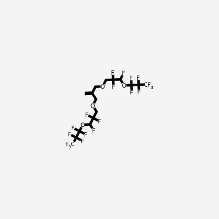 C=C(COCC(F)(F)C(F)OC(F)(F)C(F)(F)C(F)(F)F)COCC(F)(F)C(F)OC(F)(F)C(F)(F)C(F)(F)F